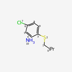 CC(C)CSc1ccc(Cl)cc1.N